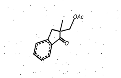 CC(=O)OCC1(C)Cc2ccccc2C1=O